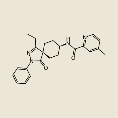 CCC1=NN(c2ccccc2)C(=O)[C@]12CC[C@H](NC(=O)c1cc(C)ccn1)CC2